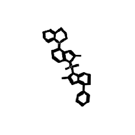 CC1=Cc2c(-c3ccccc3)cccc2C1[Si](C)(C)C1C(C)=Cc2c1cccc2N1CCCc2ccccc21